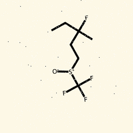 CCC(C)(F)CC[S+]([O-])C(F)(F)F